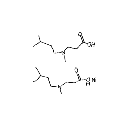 CC(C)CCN(C)CCC(=O)O.CC(C)CCN(C)CCC(=O)O.[Ni]